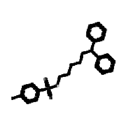 Cc1ccc(S(=O)(=O)OCCCCCC(c2ccccc2)c2ccccc2)cc1